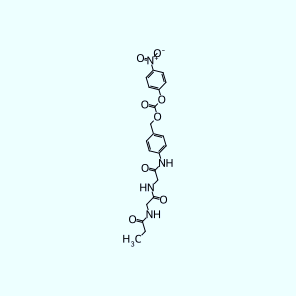 CCC(=O)NCC(=O)NCC(=O)Nc1ccc(COC(=O)Oc2ccc([N+](=O)[O-])cc2)cc1